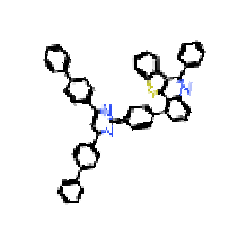 c1ccc(-c2ccc(-c3cc(-c4ccc(-c5ccccc5)cc4)nc(-c4ccc(-c5cccc6nc(-c7ccccc7)c7c8ccccc8sc7c56)cc4)n3)cc2)cc1